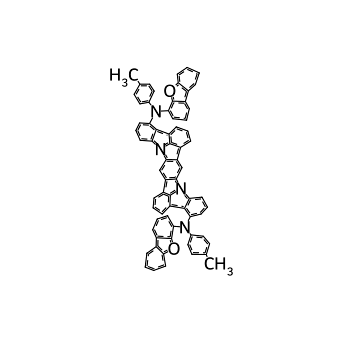 Cc1ccc(N(c2cccc3c2oc2ccccc23)c2cccc3c2c2cccc4c5cc6c(cc5n3c42)c2cccc3c4c(N(c5ccc(C)cc5)c5cccc7c5oc5ccccc57)cccc4n6c23)cc1